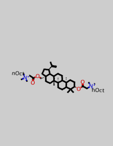 C=C(C)[C@@H]1CC[C@]2(COC(=O)C[N+](C)(C)CCCCCCCC)CC[C@]3(C)C(CCC4[C@@]5(C)CC[C@H](OC(=O)C[N+](C)(C)CCCCCCCC)C(C)(C)C5CC[C@]43C)C12